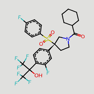 O=C(C1CCCCC1)N1CC[C@](c2ccc(C(O)(C(F)(F)F)C(F)(F)F)c(F)c2)(S(=O)(=O)c2ccc(F)cc2)C1